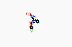 O=C(COc1ccc(Cl)cc1)N1CCN(Cc2ccc(F)cc2)C(CCNCCO)C1